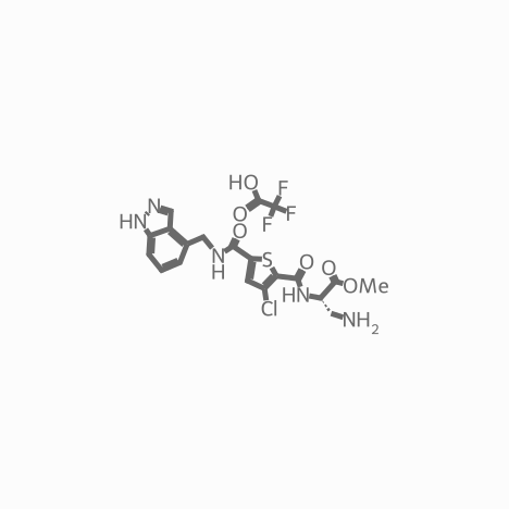 COC(=O)[C@H](CN)NC(=O)c1sc(C(=O)NCc2cccc3[nH]ncc23)cc1Cl.O=C(O)C(F)(F)F